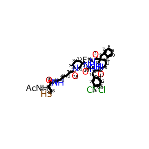 CCNC(=O)C1(Cc2ccccc2)CCCN(C(=O)[C@@H](Cc2ccc(Cl)c(Cl)c2)NC(=O)N[C@@H]2CCCN(C(=O)CCCCCNC(=O)C(CS)NC(C)=O)C2)C1